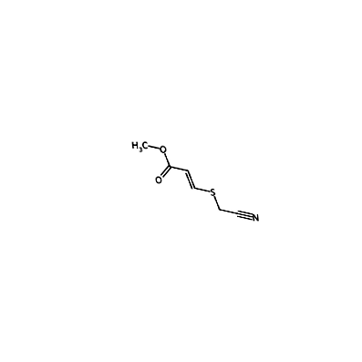 COC(=O)C=CSCC#N